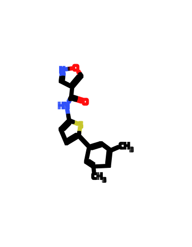 Cc1cc(C)cc(-c2ccc(NC(=O)c3cnoc3)s2)c1